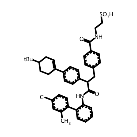 Cc1cc(Cl)ccc1-c1ccccc1NC(=O)C(Cc1ccc(C(=O)NCCS(=O)(=O)O)cc1)c1ccc(C2=CCC(C(C)(C)C)CC2)cc1